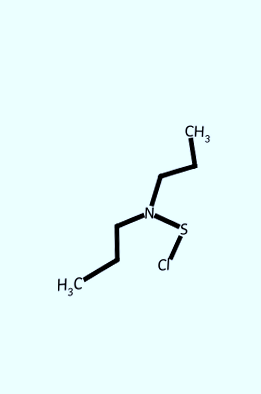 CCCN(CCC)SCl